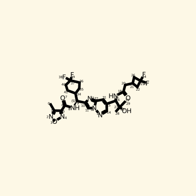 Cc1nonc1C(=O)N[C@H](c1cn2ncc(C(NC(=O)CC3CC(F)(F)C3)C(C)(C)O)cc2n1)C1CCC(F)(F)CC1